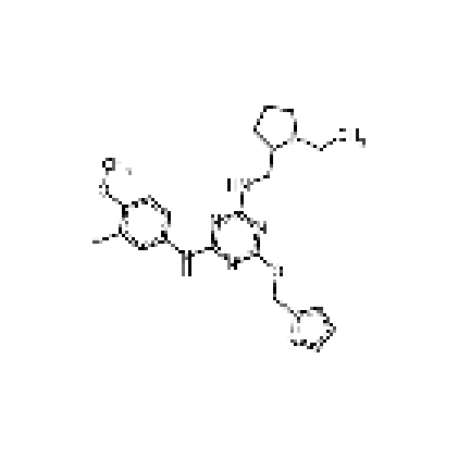 CCN1CCCC1CNc1nc(Nc2ccc(OC)c(F)c2)nc(OCc2cccs2)n1